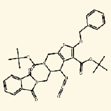 CC(C)(C)OC(=O)c1c(OCc2ccccc2)sc2c1C(N=C=O)C(CN1C(=O)c3ccccc3C1=O)N(C(=O)OC(C)(C)C)C2